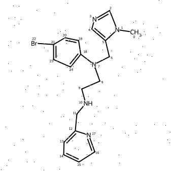 Cn1cncc1CN(CCNCc1ccccn1)c1ccc(Br)cc1